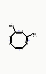 CC(C)(C)C1=C/C(N)=C\C=C/C=C\1